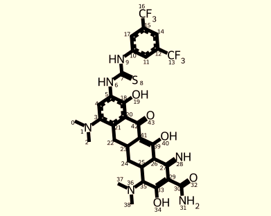 CN(C)c1cc(NC(=S)Nc2cc(C(F)(F)F)cc(C(F)(F)F)c2)c(O)c2c1CC1CC3C(C(=N)C(C(N)=O)=C(O)C3N(C)C)C(O)=C1C2=O